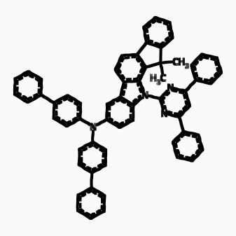 CC1(C)c2ccccc2-c2ccc3c4cc(N(c5ccc(-c6ccccc6)cc5)c5ccc(-c6ccccc6)cc5)ccc4n(-c4nc(-c5ccccc5)cc(-c5ccccc5)n4)c3c21